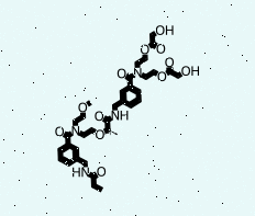 CCC(=O)NCc1cccc(C(=O)N(CCOC)CCO[C@@H](C)C(=O)NCc2cccc(C(=O)N(CCOC(=O)CO)CCOC(=O)CO)c2)c1